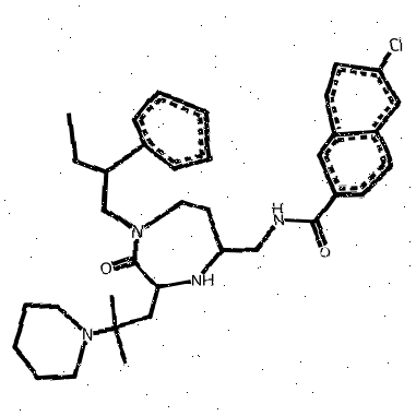 CCC(CN1CCC(CNC(=O)c2ccc3cc(Cl)ccc3c2)NC(CC(C)(C)N2CCCCC2)C1=O)c1ccccc1